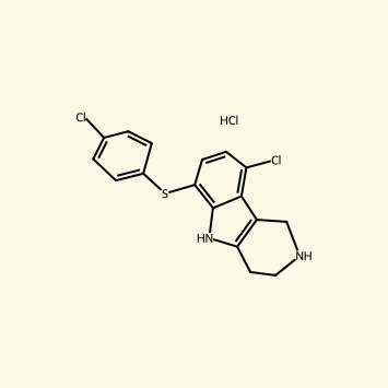 Cl.Clc1ccc(Sc2ccc(Cl)c3c4c([nH]c23)CCNC4)cc1